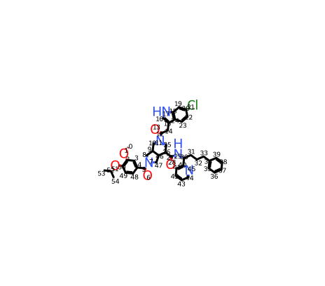 COc1cc(C(=O)N2CC3CN(C(=O)Cc4c[nH]c5cc(Cl)ccc45)CC(C(=O)NC(CCCc4ccccc4)c4ccccn4)C3C2)ccc1OC(C)C